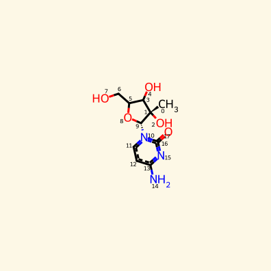 C[C@]1(O)C(O)C(CO)O[C@H]1n1ccc(N)nc1=O